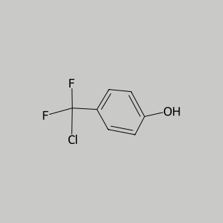 Oc1ccc(C(F)(F)Cl)cc1